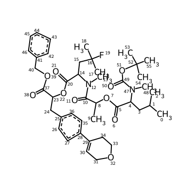 CC(C)CC(C(=O)OC(C)C(=O)N(C)C(CC(C)(C)F)C(=O)OC(Cc1ccc(C2=CCOCC2)cc1)C(=O)OCc1ccccc1)N(C)C(=O)OC(C)(C)C